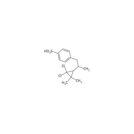 CC(Cc1ccc(S(=O)(=O)O)cc1)C1C(C)(C)C1(Cl)Cl